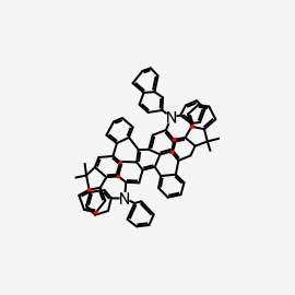 CC1(C)c2ccccc2-c2ccc(-c3ccccc3-c3c4ccc(N(C5=CC=CCC5)c5ccccc5)cc4c(-c4ccccc4C4=CC=C5c6ccccc6C(C)(C)C5C4)c4ccc(N(c5ccccc5)c5ccc6ccccc6c5)cc34)cc21